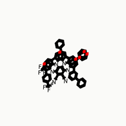 N#Cc1c(C#N)c(-n2c3ccccc3c3ccc(C(F)(F)F)cc32)c(-n2c3ccccc3c3ccc(C(F)(F)F)cc32)c(-n2c3ccc(-c4ccccc4)cc3c3cc(-c4ccccc4)ccc32)c1-n1c2ccc(-c3ccccc3)cc2c2cc(-c3ccccc3)ccc21